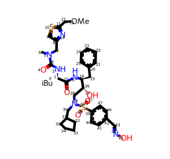 CC[C@H](C)[C@H](NC(=O)N(C)Cc1csc(COC)n1)C(=O)N[C@@H](Cc1ccccc1)[C@H](O)CN(CC1CCCC1)S(=O)(=O)c1ccc(/C=N/O)cc1